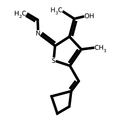 C=C/N=C1/SC(C=C2CCC2)=C(C)/C1=C(/C)O